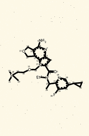 CCN(C(=O)c1cc2nc(N)c3c(c2n1COCC[Si](C)(C)C)COC3)C(C)c1ncc(C2CC2)cc1F